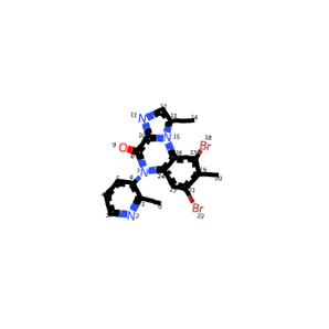 Cc1ncccc1-n1c(=O)c2ncc(C)n2c2c(Br)c(C)c(Br)cc21